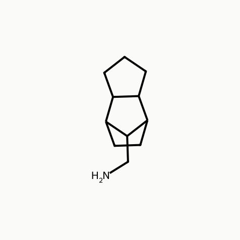 NCC1C2CCC1C1CCCC21